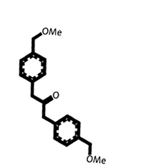 COCc1ccc(CC(=O)Cc2ccc(COC)cc2)cc1